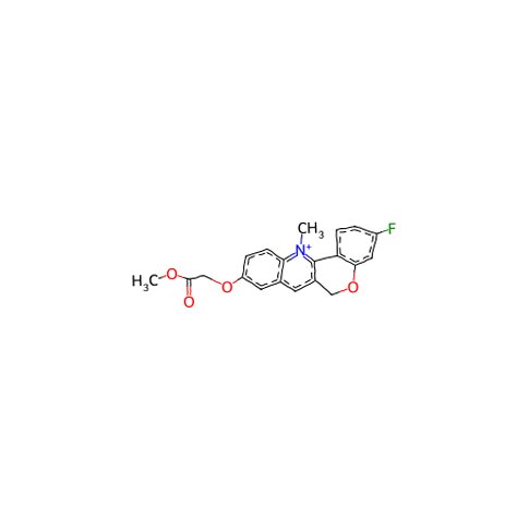 COC(=O)COc1ccc2c(c1)cc1c([n+]2C)-c2ccc(F)cc2OC1